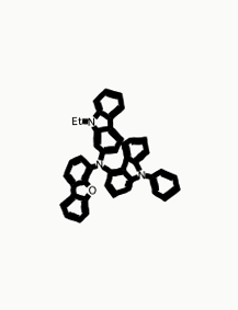 CCn1c2ccccc2c2ccc(N(c3cccc4c3oc3ccccc34)c3cccc4c3c3ccccc3n4-c3ccccc3)cc21